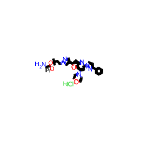 CC(C)[C@H](N)C(=O)OC(C)(C)CCn1cc(-c2cc3nc(-n4ccc(-c5ccccc5)n4)cc(N4CCOCC4)c3o2)cn1.Cl